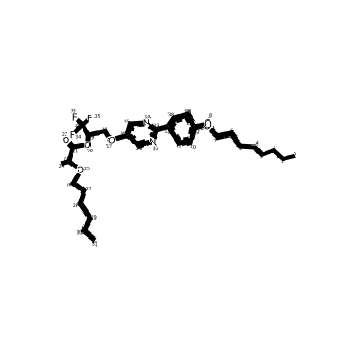 CCCCCCCCOc1ccc(-c2ncc(OCC(OC(=O)C(C)OCCCCCC)C(F)(F)F)cn2)cc1